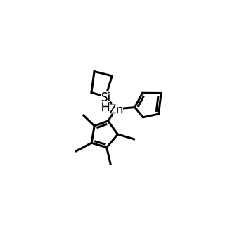 CC1=C(C)C(C)[C]([Zn]([C]2=CC=CC2)[SiH]2CCC2)=C1C